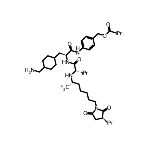 CC(C)C(=O)OCc1ccc(NC(=O)[C@H](CC2CCC(CN)CC2)NC(=O)[C@@H](N[C@H](CCCCCN2C(=O)C[C@H](C(C)C)C2=O)C(F)(F)F)C(C)C)cc1